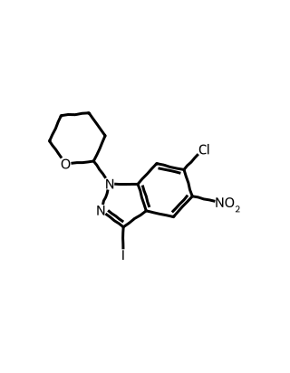 O=[N+]([O-])c1cc2c(I)nn(C3CCCCO3)c2cc1Cl